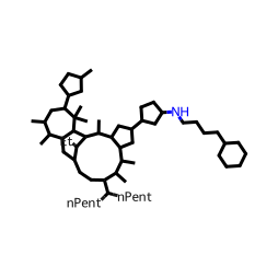 CCCCCC(CCCCC)C1CCC2CC3C(C)C(C)CC(C4CCC(C)C4)C(C)(C)C3C(C(C)C3CC(C4CCC(NCCCCC5CCCCC5)C4)CC3C(C)C1C)C2CC